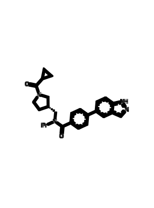 CC(C)N(C[C@@H]1CCN(C(=O)C2CC2)C1)C(=O)c1ccc(-c2ccc3[nH]ncc3c2)cc1